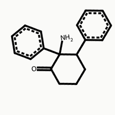 NC1(c2ccccc2)C(=O)CCCC1c1ccccc1